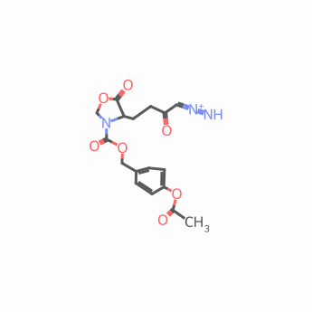 CC(=O)Oc1ccc(COC(=O)N2COC(=O)C2CCC(=O)C=[N+]=N)cc1